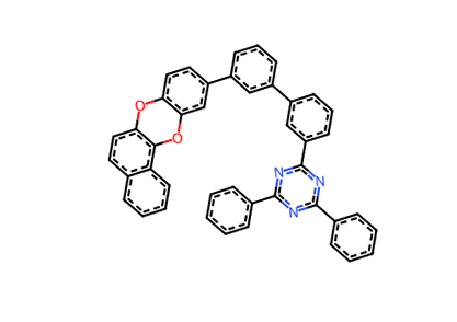 c1ccc(-c2nc(-c3ccccc3)nc(-c3cccc(-c4cccc(-c5ccc6c(c5)Oc5c(ccc7ccccc57)O6)c4)c3)n2)cc1